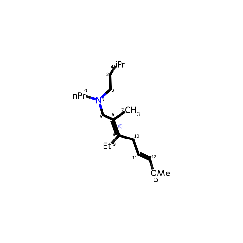 CCCN(CCC(C)C)C/C(C)=C(\CC)CC=COC